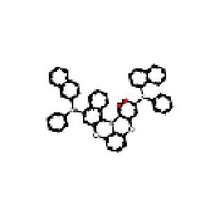 c1ccc(N(c2ccc3ccccc3c2)c2cc3c(c4ccccc24)B2c4c(cccc4Oc4cc(N(c5ccccc5)c5cccc6ccccc56)c5ccccc5c42)O3)cc1